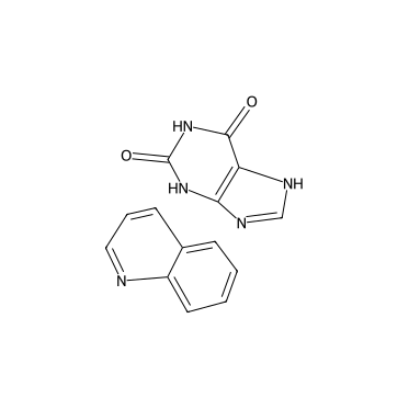 O=c1[nH]c(=O)c2[nH]cnc2[nH]1.c1ccc2ncccc2c1